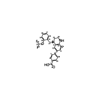 O=C(O)c1ccc(-c2cnc3c(c2)N(Cc2ccccc2OC(F)F)CCN3)cc1